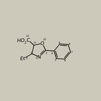 CCC1N=C(c2ccccc2)OC1C(=O)O